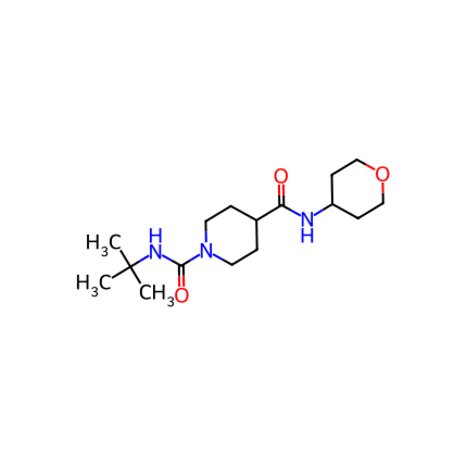 CC(C)(C)NC(=O)N1CCC(C(=O)NC2CCOCC2)CC1